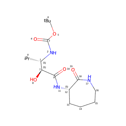 CC(C)[C@H](NC(=O)OC(C)(C)C)[C@H](O)C(=O)N[C@H]1CCCCNC1=O